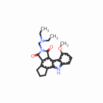 CCN(CC)CN1C(=O)c2c3c(c4[nH]c5cccc(OC)c5c4c2C1=O)CCC3